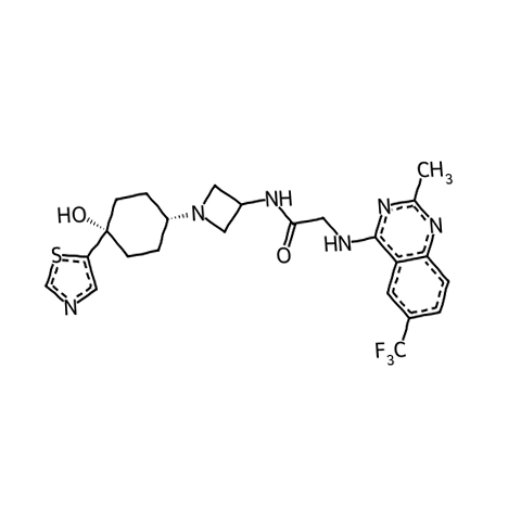 Cc1nc(NCC(=O)NC2CN([C@H]3CC[C@](O)(c4cncs4)CC3)C2)c2cc(C(F)(F)F)ccc2n1